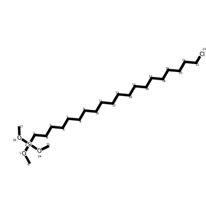 CO[Si](CCCCCCCCCCCCCCCCCCCCCl)(OC)OC